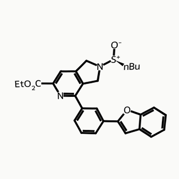 CCCC[S@+]([O-])N1Cc2cc(C(=O)OCC)nc(-c3cccc(-c4cc5ccccc5o4)c3)c2C1